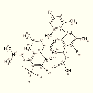 Cc1cc(-c2c(C)cc(F)cc2C)cc(C(CC(=O)O)NC(=O)C(CC(C)C)n2cc(CCN(C)C)c(C(F)(F)F)c(F)c2=O)c1F